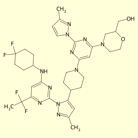 Cc1ccn(-c2nc(N3CCC(c4cc(C)nn4-c4nc(NC5CCC(F)(F)CC5)cc(C(C)(F)F)n4)CC3)cc(N3CCOC(CO)C3)n2)n1